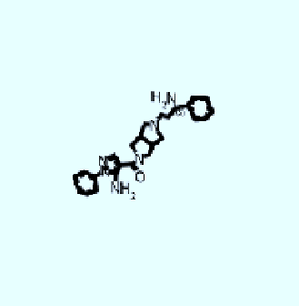 Nc1c(C(=O)N2CC3CN(CC[C@H](N)c4ccccc4)CC3C2)cnn1-c1ccccc1